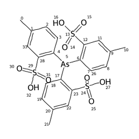 Cc1ccc([As](c2ccc(C)cc2S(=O)(=O)O)c2ccc(C)cc2S(=O)(=O)O)c(S(=O)(=O)O)c1